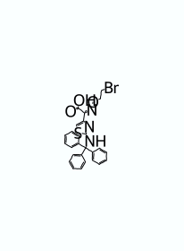 O=C(O)C(=NOCCBr)c1csc(NC(c2ccccc2)(c2ccccc2)c2ccccc2)n1